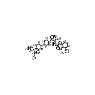 CCOC(=O)C1(c2ccc(-c3ccc(-c4onc(C)c4NC(=O)O[C@H](C)c4ccccc4Cl)cc3)cc2)CN(C)C1